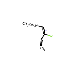 C=C/C(F)=C\N(C)O